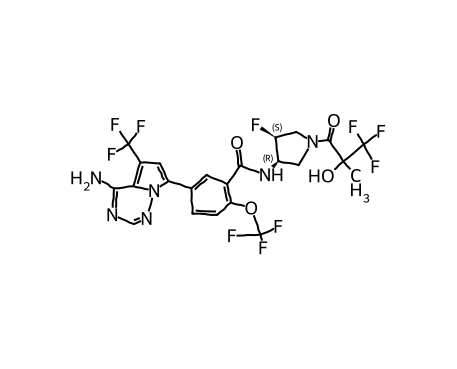 CC(O)(C(=O)N1C[C@H](F)[C@H](NC(=O)c2cc(-c3cc(C(F)(F)F)c4c(N)ncnn34)ccc2OC(F)(F)F)C1)C(F)(F)F